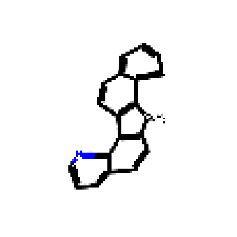 c1ccc2[c]3c(ccc2c1)-c1[c](ccc2cccnc12)[GeH2]3